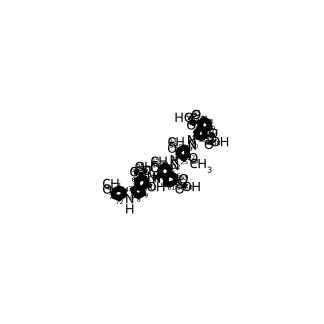 COc1ccc(Nc2ccc3c(O)c(N=Nc4c(OC)cc(N=Nc5cc(OC)c(N=Nc6cc(S(=O)(=O)O)c7cccc(S(=O)(=O)O)c7c6)cc5OC)c5cc(S(=O)(=O)O)ccc45)c(S(=O)(=O)O)cc3c2)cc1